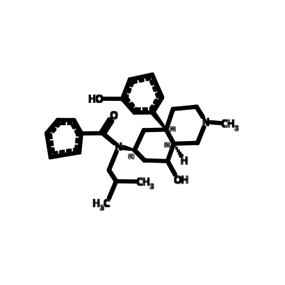 CC(C)CN(C(=O)c1ccccc1)[C@@H]1CC(O)[C@@H]2CN(C)CC[C@@]2(c2cccc(O)c2)C1